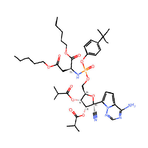 CCCCCOC(=O)C[C@H](NP(=O)(OC[C@H]1O[C@@](C#N)(c2ccc3c(N)ncnn23)[C@H](OC(=O)C(C)C)[C@@H]1OC(=O)C(C)C)Oc1ccc(C(C)(C)C)cc1)C(=O)OCCCCC